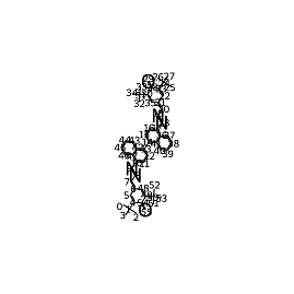 CC(C)(C)C1=CC(=C/N=N/c2ccc(-c3ccc(/N=N/C=C4C=C(C(C)(C)C)C(=O)C(C(C)(C)C)=C4)c4ccccc34)c3ccccc23)C=C(C(C)(C)C)C1=O